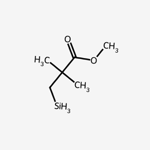 COC(=O)C(C)(C)C[SiH3]